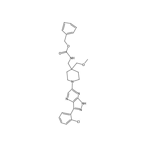 COCC1(CNC(=O)OCc2ccccc2)CCN(c2cnc3c(-c4ccccc4Cl)n[nH]c3n2)CC1